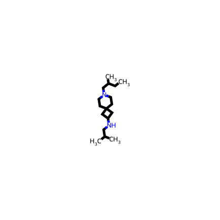 CCC(C)CN1CCC2(CC1)CC(NCC(C)C)C2